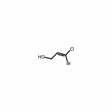 OCC=C(Cl)Br